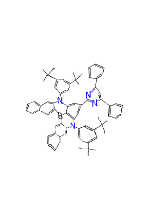 CC(C)(C)c1cc(N2c3cc4ccccc4cc3B3c4cc5ccccc5cc4N(c4cc(C(C)(C)C)cc(C(C)(C)C)c4)c4cc(-c5nc(-c6ccccc6)cc(-c6ccccc6)n5)cc2c43)cc(C(C)(C)C)c1